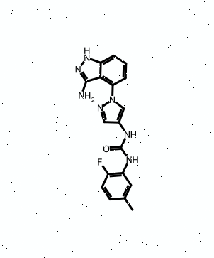 Cc1ccc(F)c(NC(=O)Nc2cnn(-c3cccc4[nH]nc(N)c34)c2)c1